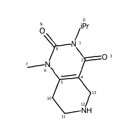 CC(C)n1c(=O)c2c(n(C)c1=O)CCNC2